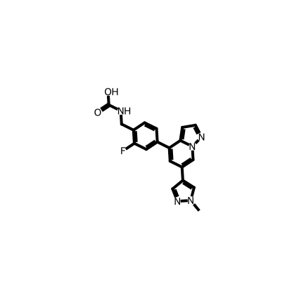 Cn1cc(-c2cc(-c3ccc(CNC(=O)O)c(F)c3)c3ccnn3c2)cn1